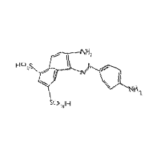 Nc1ccc(/N=N/c2c(N)ccc3c(S(=O)(=O)O)cc(S(=O)(=O)O)cc23)cc1